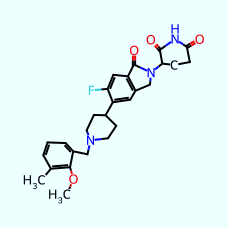 COc1c(C)cccc1CN1CCC(c2cc3c(cc2F)C(=O)N(C2CCC(=O)NC2=O)C3)CC1